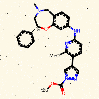 COc1nc(Nc2ccc3c(c2)O[C@H](c2ccccc2)CN(C)C3)ccc1-c1cnn(C(=O)OC(C)(C)C)c1